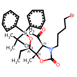 CC[C@@H](O[Si](c1ccccc1)(c1ccccc1)C(C)(C)C)[C@@]1(C)OC(=O)N(CCCCBr)[C@@H]1C(C)=O